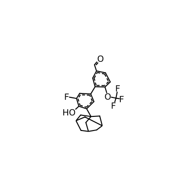 O=Cc1ccc(OC(F)(F)F)c(-c2cc(F)c(O)c(C34CC5CC(CC(C5)C3)C4)c2)c1